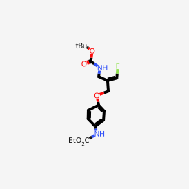 CCOC(=O)Nc1ccc(OC/C(=C/F)CNC(=O)OC(C)(C)C)cc1